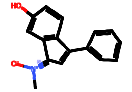 C/[N+]([O-])=C1\C=C(c2ccccc2)c2ccc(O)cc21